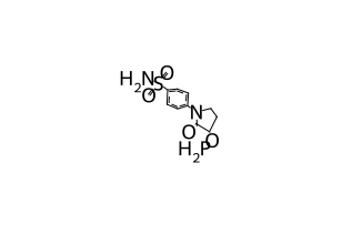 NS(=O)(=O)c1ccc(N2CCC(OP)C2=O)cc1